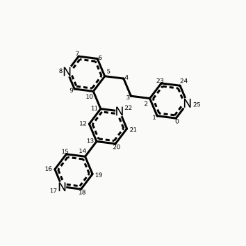 c1cc(CCc2ccncc2-c2cc(-c3ccncc3)ccn2)ccn1